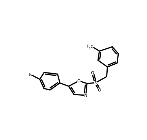 O=S(=O)(Cc1cccc(C(F)(F)F)c1)c1ncc(-c2ccc(F)cc2)o1